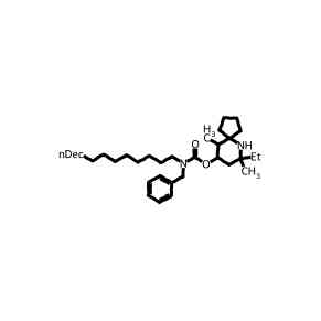 CCCCCCCCCCCCCCCCCCN(Cc1ccccc1)C(=O)OC1CC(C)(CC)NC2(CCCC2)C1C